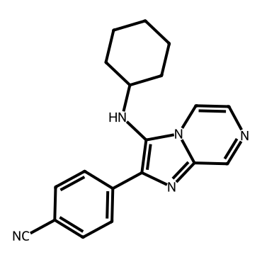 N#Cc1ccc(-c2nc3cnccn3c2NC2CCCCC2)cc1